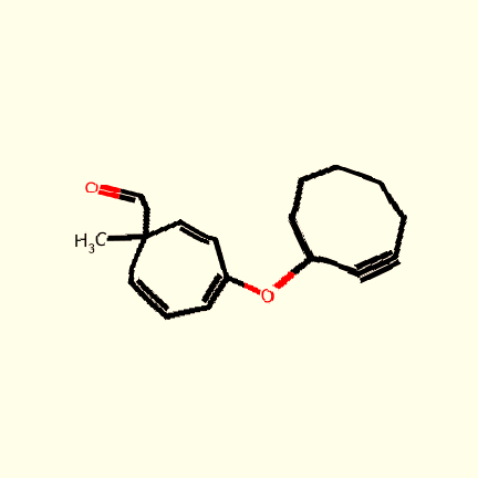 CC1(C=O)C=CC=C(OC2C#CCCCCC2)C=C1